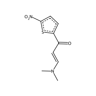 CN(C)C=CC(=O)c1ccc([N+](=O)[O-])s1